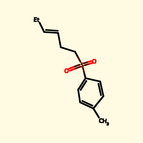 CCC=CCCS(=O)(=O)c1ccc(C)cc1